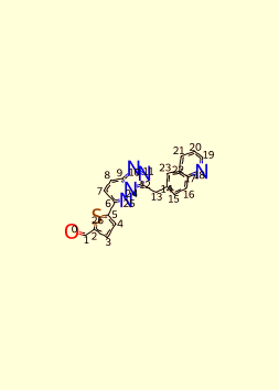 O=Cc1ccc(-c2ccc3nnc(Cc4ccc5ncccc5c4)n3n2)s1